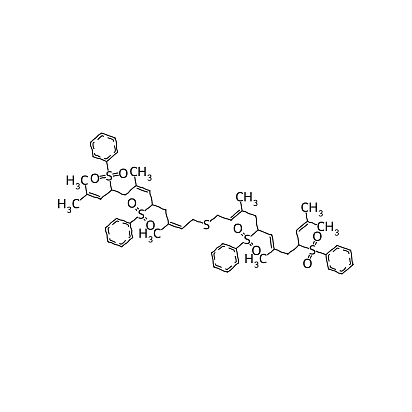 CC(C)=CC(CC(C)=CC(CC(C)=CCSCC=C(C)CC(C=C(C)CC(C=C(C)C)S(=O)(=O)c1ccccc1)S(=O)(=O)c1ccccc1)S(=O)(=O)c1ccccc1)S(=O)(=O)c1ccccc1